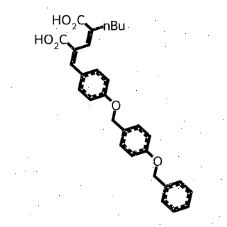 CCCCC(=CC(=Cc1ccc(OCc2ccc(OCc3ccccc3)cc2)cc1)C(=O)O)C(=O)O